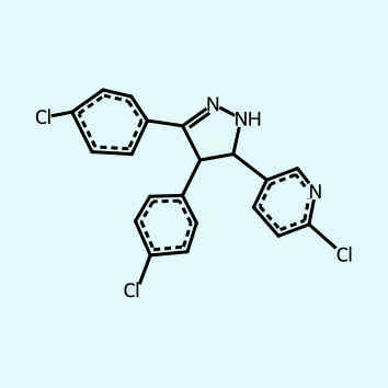 Clc1ccc(C2=NNC(c3ccc(Cl)nc3)C2c2ccc(Cl)cc2)cc1